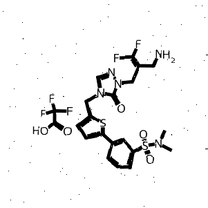 CN(C)S(=O)(=O)c1cccc(-c2ccc(Cn3cnn(CC(CN)=C(F)F)c3=O)s2)c1.O=C(O)C(F)(F)F